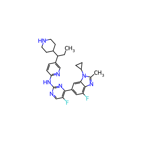 CCC(c1ccc(Nc2ncc(F)c(-c3cc(F)c4nc(C)n(C5CC5)c4c3)n2)nc1)C1CCNCC1